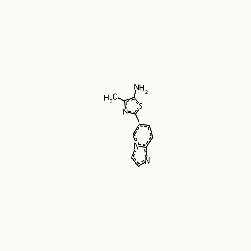 Cc1nc(-c2ccc3nccn3c2)sc1N